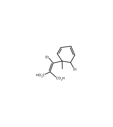 CCC(=C(C(=O)O)C(=O)O)C1(C)C=CC=CC1CC